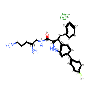 Cl.Cl.NCCC[C@H](N)CNC(=O)c1[nH]c2cc(-c3ccc(F)cc3)ccc2c1Cc1ccccc1